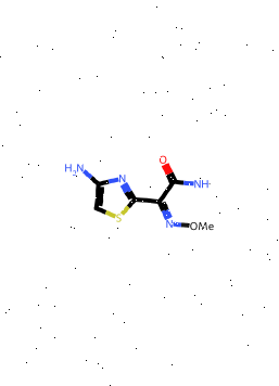 CO/N=C(\C([NH])=O)c1nc(N)cs1